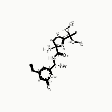 C=Cc1cc([C@@H](CCC)NC(=O)[C@]2(N)CSC(C(C)(OCC)OCC)=N2)oc(=O)c1